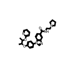 CC(Oc1ccc(-n2cnc3cc(C(=O)NCCN4CCCC4)ccc32)cc1)C(C)Oc1ccccn1